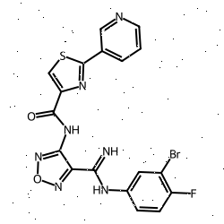 N=C(Nc1ccc(F)c(Br)c1)c1nonc1NC(=O)c1csc(-c2cccnc2)n1